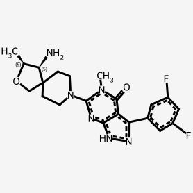 C[C@@H]1OCC2(CCN(c3nc4[nH]nc(-c5cc(F)cc(F)c5)c4c(=O)n3C)CC2)[C@@H]1N